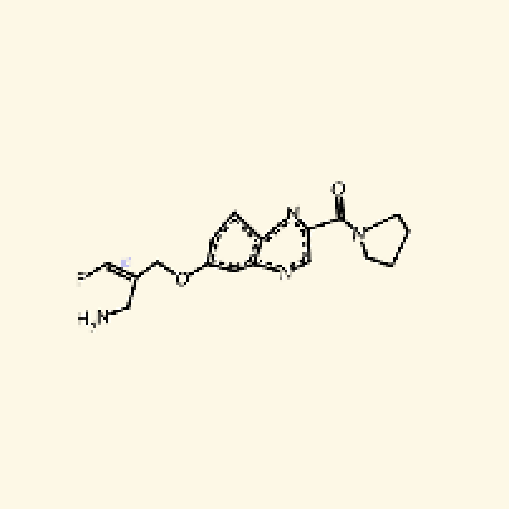 NC/C(=C\F)COc1ccc2nc(C(=O)N3CCCC3)cnc2c1